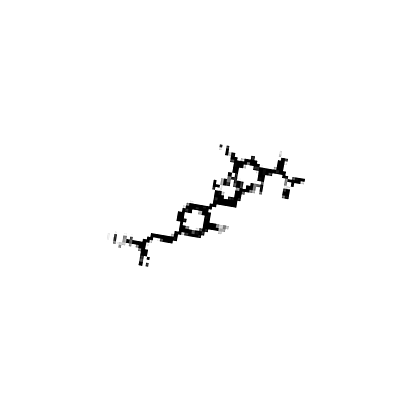 CCc1cc(C(=O)N(C)C)nc2cc(-c3ccc(CCC(N)=O)cc3F)nn12